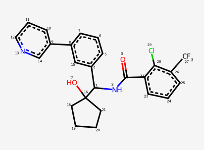 O=C(NC(c1cccc(-c2cccnc2)c1)C1(O)CCCC1)c1cccc(C(F)(F)F)c1Cl